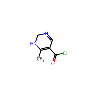 O=C(Cl)C1=C(C(F)(F)F)NCN=C1